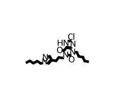 CCCCCn1cc(CCCn2c(=O)c3[nH]c(Cl)nc3n(CCCCC)c2=O)cn1